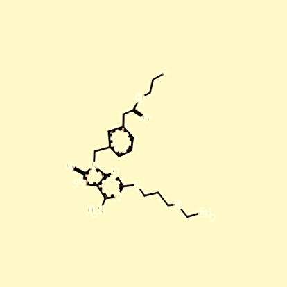 CCOCCCSc1nc(N)c2[nH]c(=O)n(Cc3cccc(CC(=O)OCCF)c3)c2n1